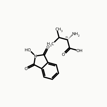 CC(C)[C@H](N)C(=O)O.O=C1c2ccccc2C(=O)N1O